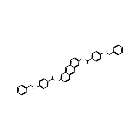 O=C(Oc1ccc2cc3cc(OC(=O)c4ccc(OCc5ccccc5)cc4)ccc3cc2c1)c1ccc(OCc2ccccc2)cc1